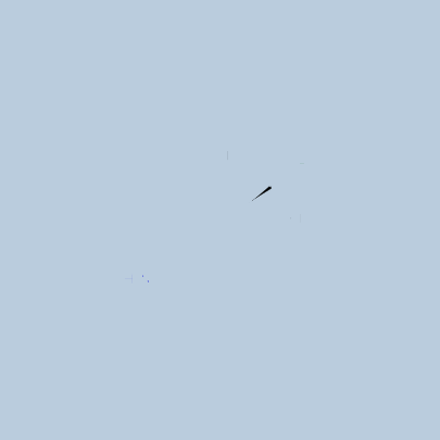 CC(C)(F)[C@H]1CC[C@H](N)CC1